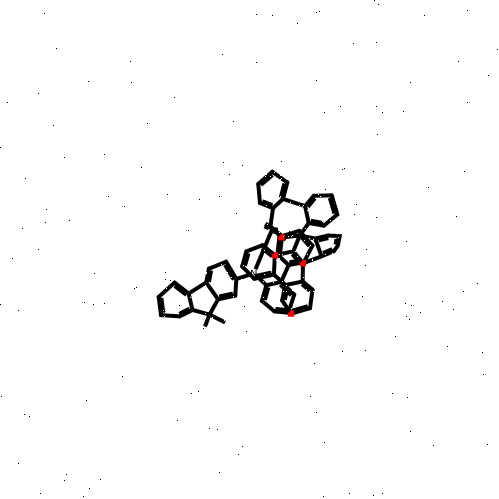 CC1(C)c2ccccc2-c2ccc(N(c3ccc4c(c3)C3(c5ccccc5-c5ccccc5-4)c4ccccc4-c4c3c3ccccc3c3ccccc43)c3ccccc3-c3ccccc3)cc21